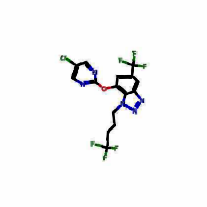 FC(F)(F)CCCn1nnc2cc(C(F)(F)F)cc(Oc3ncc(Cl)cn3)c21